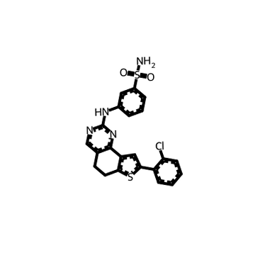 NS(=O)(=O)c1cccc(Nc2ncc3c(n2)-c2cc(-c4ccccc4Cl)sc2CC3)c1